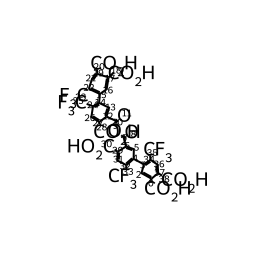 O=C(O)c1cc(-c2cc(C(=O)OC(=O)c3cc(-c4cc(C(=O)O)c(C(=O)O)cc4C(F)(F)F)c(C(F)(F)F)cc3C(=O)O)c(C(=O)O)cc2C(F)(F)F)c(C(F)(F)F)cc1C(=O)O